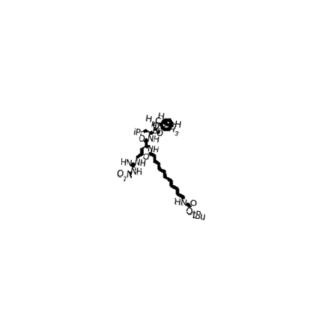 CC(C)C[C@H](NC(=O)[C@H](CCCNC(=N)N[N+](=O)[O-])NC(=O)CCCCCCCCCCCNC(=O)OC(C)(C)C)B1OC2C[C@@H]3C[C@@H](C3(C)C)[C@]2(C)O1